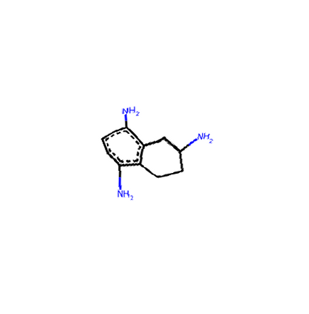 Nc1ccc(N)c2c1CCC(N)C2